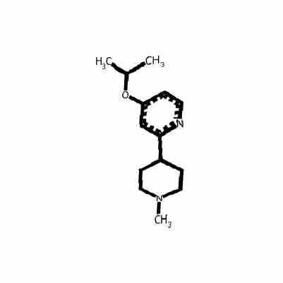 CC(C)Oc1ccnc(C2CCN(C)CC2)c1